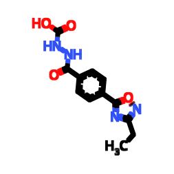 CCc1noc(-c2ccc(C(=O)NNC(=O)O)cc2)n1